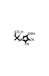 COc1cn(CC(C)(C)CC(=O)O)c(C#N)c1C#N